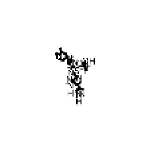 CC1CC(N(C)c2nc3sc(-c4ncc(-c5cn[nH]c5)c5[nH]cnc45)nc3s2)CCN1C.O=C(O)C(F)(F)F